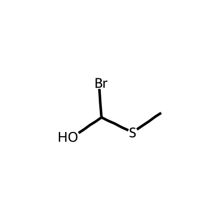 CSC(O)Br